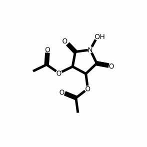 CC(=O)OC1C(=O)N(O)C(=O)C1OC(C)=O